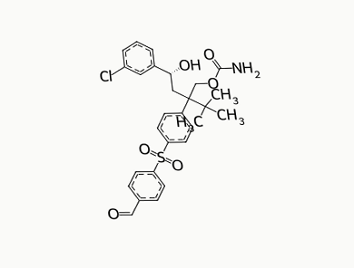 CC(C)(C)C(COC(N)=O)(C[C@@H](O)c1cccc(Cl)c1)c1ccc(S(=O)(=O)c2ccc(C=O)cc2)cc1